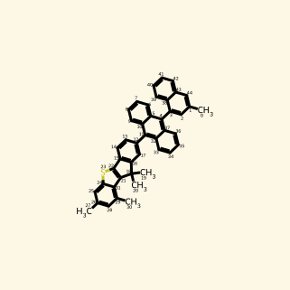 Cc1cc(-c2c3ccccc3c(-c3ccc4c(c3)C(C)(C)c3c-4sc4cc(C)cc(C)c34)c3ccccc23)c2ccccc2c1